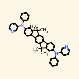 CC1(C)c2cc(N(c3ccccc3)c3cccnc3)ccc2-c2cc3c(cc21)-c1ccc(N(c2ccccc2)c2cccnc2)cc1C3(C)C